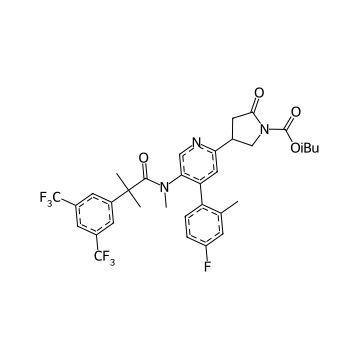 Cc1cc(F)ccc1-c1cc(C2CC(=O)N(C(=O)OCC(C)C)C2)ncc1N(C)C(=O)C(C)(C)c1cc(C(F)(F)F)cc(C(F)(F)F)c1